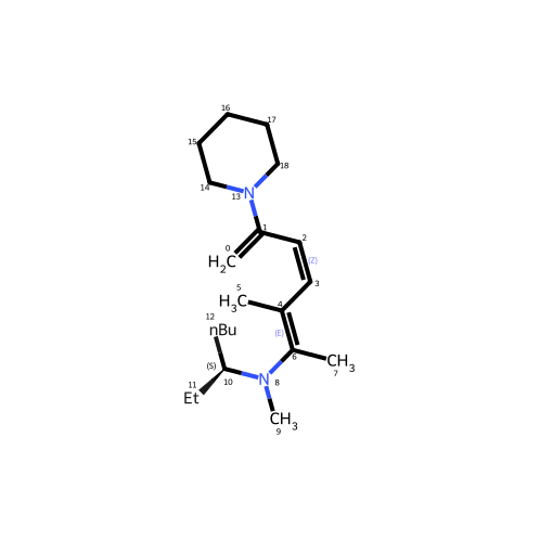 C=C(/C=C\C(C)=C(/C)N(C)[C@@H](CC)CCCC)N1CCCCC1